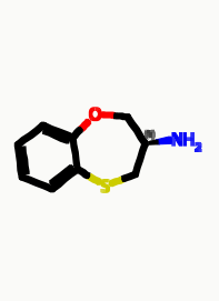 N[C@@H]1COc2ccccc2SC1